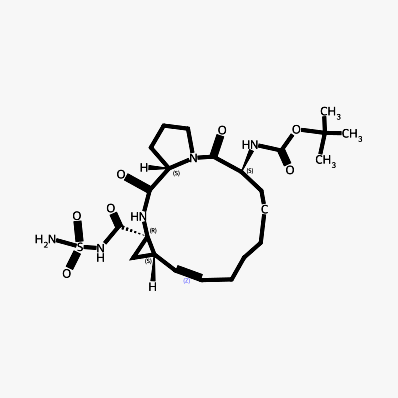 CC(C)(C)OC(=O)N[C@H]1CCCCC/C=C\[C@@H]2C[C@@]2(C(=O)NS(N)(=O)=O)NC(=O)[C@@H]2CCCN2C1=O